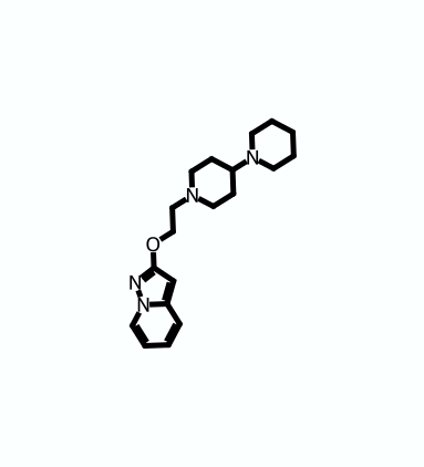 c1ccn2nc(OCCN3CCC(N4CCCCC4)CC3)cc2c1